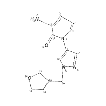 Nc1cccn(-c2cnn(CC3CCOC3)c2)c1=O